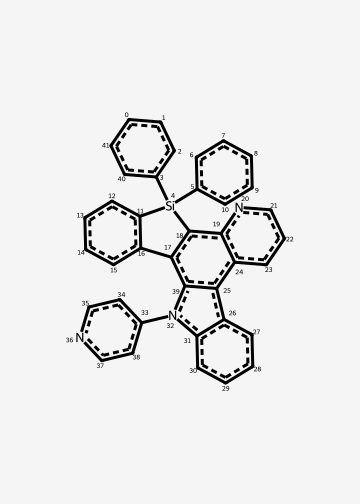 c1ccc([Si]2(c3ccccc3)c3ccccc3-c3c2c2ncccc2c2c4ccccc4n(-c4ccncc4)c32)cc1